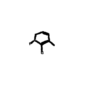 CC1=C(Cl)N(F)CC=C1